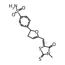 CN1C(=O)/C(=C/C2=CCC(c3ccc(S(N)(=O)=O)cc3)O2)SC1=S